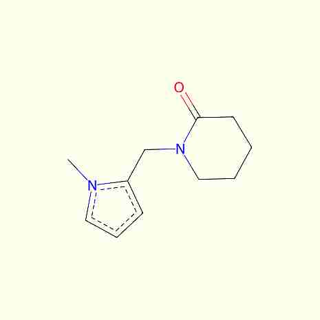 Cn1cccc1CN1CCCCC1=O